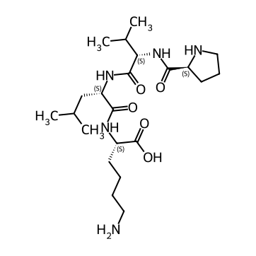 CC(C)C[C@H](NC(=O)[C@@H](NC(=O)[C@@H]1CCCN1)C(C)C)C(=O)N[C@@H](CCCCN)C(=O)O